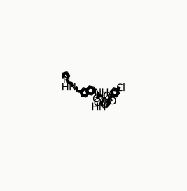 O=C(C[C@@H]1C(=O)NCCN1S(=O)(=O)c1ccc(Cl)cc1)N[C@@H]1CCc2cc(CCNCCn3cccc3)ccc2C1